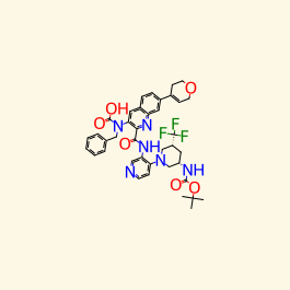 CC(C)(C)OC(=O)N[C@H]1C[C@@H](C(F)(F)F)CN(c2ccncc2NC(=O)c2nc3cc(C4=CCOCC4)ccc3cc2N(Cc2ccccc2)C(=O)O)C1